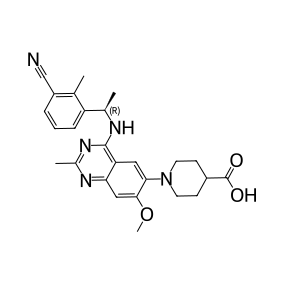 COc1cc2nc(C)nc(N[C@H](C)c3cccc(C#N)c3C)c2cc1N1CCC(C(=O)O)CC1